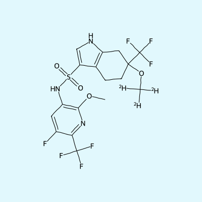 [2H]C([2H])([2H])OC1(C(F)(F)F)CCc2c(S(=O)(=O)Nc3cc(F)c(C(F)(F)F)nc3OC)c[nH]c2C1